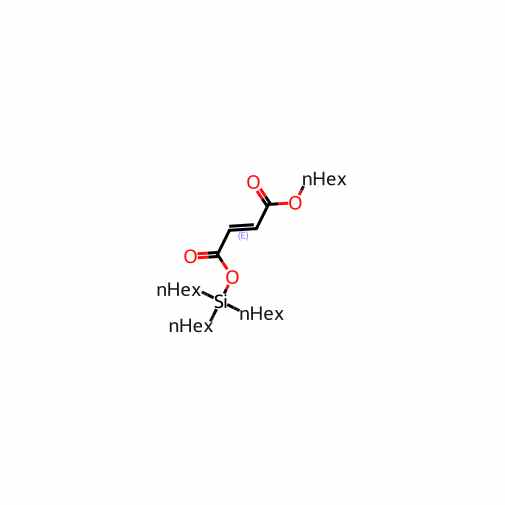 CCCCCCOC(=O)/C=C/C(=O)O[Si](CCCCCC)(CCCCCC)CCCCCC